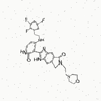 C[C@@H](Cc1cc(F)cc(F)c1F)Nc1cc[nH]c(=O)c1-c1nc2cc3c(cc2[nH]1)CN(CCN1CCOCC1)C3=O